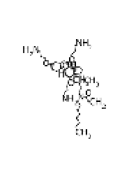 C=CC(=O)N(CCCCCCCC)CCCC(C)C1CC[C@H]2C3[C@H](OCCCN)CC4C[C@H](OCCCN)CCC4(C)[C@H]3C[C@H](OCCCN)[C@]12C